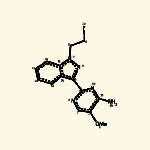 COc1cnc(-c2nn(CCF)c3ccccc23)nc1N